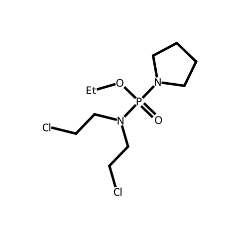 CCOP(=O)(N(CCCl)CCCl)N1CCCC1